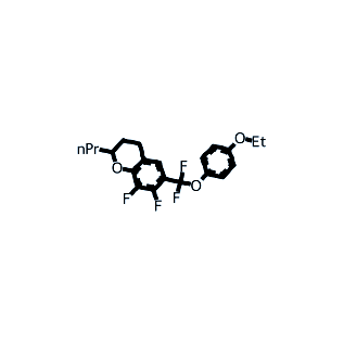 CCCC1CCc2cc(C(F)(F)Oc3ccc(OCC)cc3)c(F)c(F)c2O1